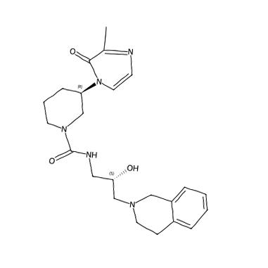 Cc1nccn([C@@H]2CCCN(C(=O)NC[C@H](O)CN3CCc4ccccc4C3)C2)c1=O